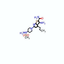 CCCc1cc(N2CCC(N(N)S(C)(=O)=O)CC2)nc2sc(C(N)=O)c(N)c12